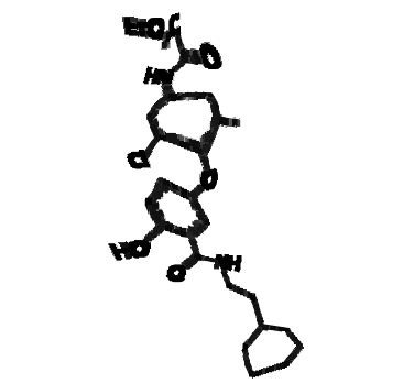 CCOC(=O)C(=O)Nc1cc(C)c(Oc2ccc(O)c(C(=O)NCCC3CCCCC3)c2)c(Cl)c1